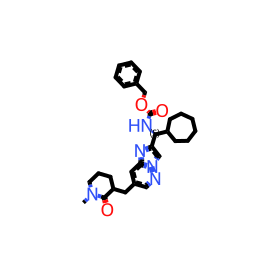 CN1CCCC(Cc2cnn3cc([C@@H](NC(=O)OCc4ccccc4)C4CCCCCC4)nc3c2)C1=O